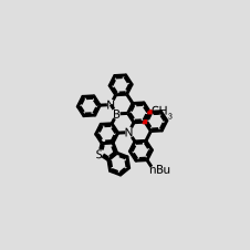 CCCCc1ccc(N2c3cc(C)cc4c3B(c3ccc5sc6ccccc6c5c32)N(c2ccccc2)c2ccccc2-4)c(-c2ccccc2)c1